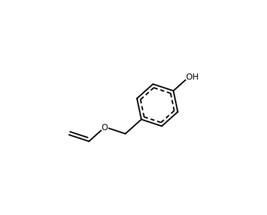 C=COCc1ccc(O)cc1